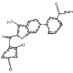 Cc1c(C(=O)c2ccc(Cl)cc2Cl)oc2cc(-c3cccc(C(N)=O)c3)ccc12